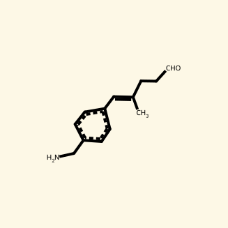 C/C(=C\c1ccc(CN)cc1)CCC=O